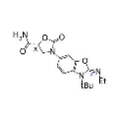 CC/N=c1/oc2cc(N3C[C@H](C(N)=O)OC3=O)ccc2n1C(C)(C)C